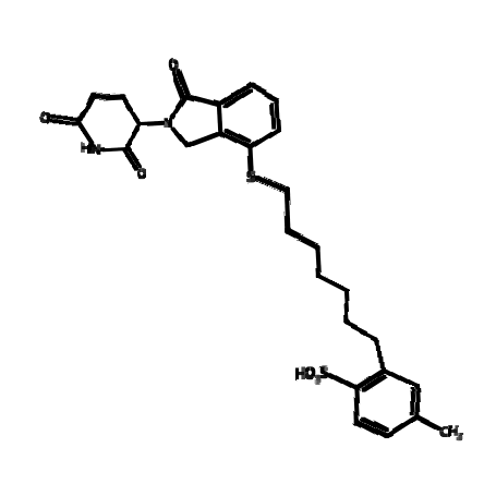 Cc1ccc(S(=O)(=O)O)c(CCCCCCCSc2cccc3c2CN(C2CCC(=O)NC2=O)C3=O)c1